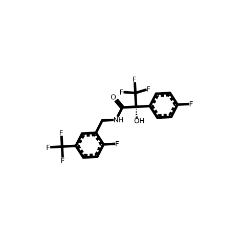 O=C(NCc1cc(C(F)(F)F)ccc1F)[C@](O)(c1ccc(F)cc1)C(F)(F)F